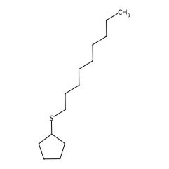 CCCCCCCCCSC1CCCC1